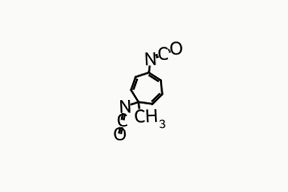 CC1(N=C=O)C=CC=C(N=C=O)C=C1